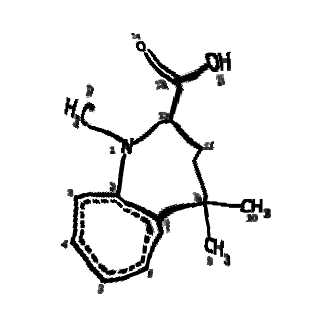 CN1c2ccccc2C(C)(C)CC1C(=O)O